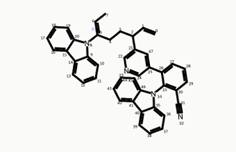 C=CC(CC/C(=C\C)n1c2ccccc2c2ccccc21)c1cncc(-c2cccc(C#N)c2-n2c3ccccc3c3ccccc32)c1